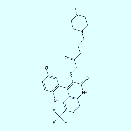 CN1CCN(CCCC(=O)CSc2c(-c3cc(Cl)ccc3O)c3cc(C(F)(F)F)ccc3[nH]c2=O)CC1